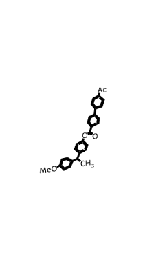 COc1ccc(C(C)c2ccc(OC(=O)c3ccc(-c4ccc(C(C)=O)cc4)cc3)cc2)cc1